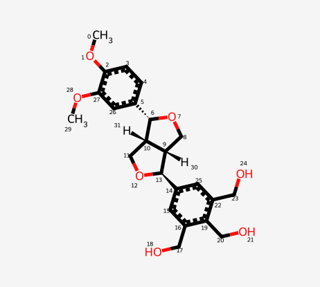 COc1ccc([C@@H]2OC[C@H]3[C@@H]2CO[C@@H]3c2cc(CO)c(CO)c(CO)c2)cc1OC